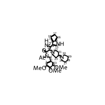 COc1cc(CN(C(C)=O)C(=O)C(C(N)c2c[nH]c3ccccc23)N2CCC(N3CCCCC3)CC2)cc(OC)c1OC